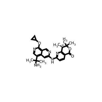 C[C@@H]1c2nc(Nc3cc4c(C(C)(C)N)cnc(OC5CC5)c4cn3)ccc2C(=O)OC1(C)C